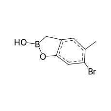 Cc1cc2c(cc1Br)OB(O)C2